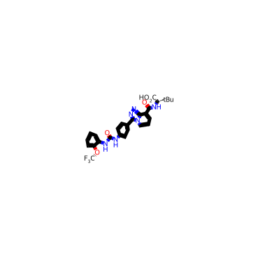 CC(C)(C)[C@H](NC(=O)c1cccn2c(-c3ccc(NC(=O)Nc4ccccc4OC(F)(F)F)cc3)nnc12)C(=O)O